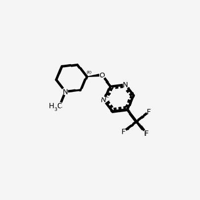 CN1CCC[C@@H](Oc2ncc(C(F)(F)F)cn2)C1